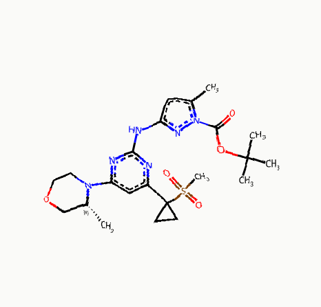 Cc1cc(Nc2nc(N3CCOC[C@H]3C)cc(C3(S(C)(=O)=O)CC3)n2)nn1C(=O)OC(C)(C)C